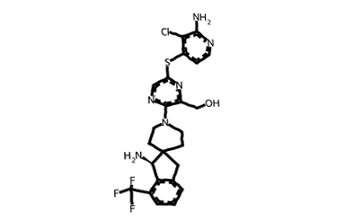 Nc1nccc(Sc2cnc(N3CCC4(CC3)Cc3cccc(C(F)(F)F)c3[C@H]4N)c(CO)n2)c1Cl